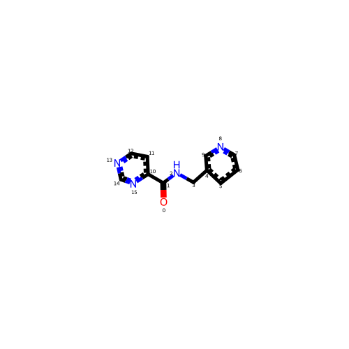 O=C(NCc1cccnc1)c1ccncn1